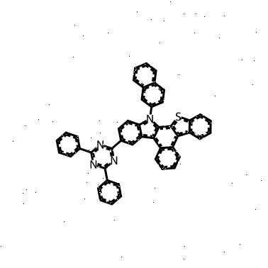 c1ccc(-c2nc(-c3ccccc3)nc(-c3ccc4c(c3)c3c5ccccc5c5c6ccccc6sc5c3n4-c3ccc4ccccc4c3)n2)cc1